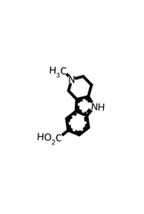 CN1CCc2[nH]c3ccc(C(=O)O)cc3c2C1